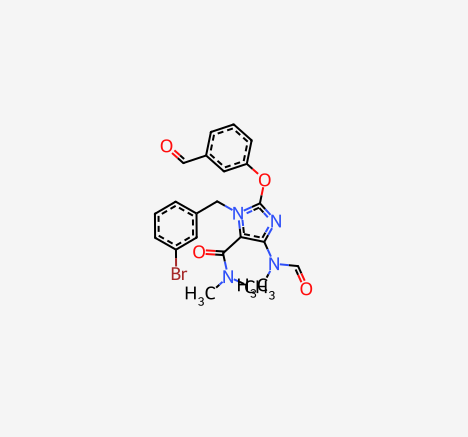 CN(C)C(=O)c1c(N(C)C=O)nc(Oc2cccc(C=O)c2)n1Cc1cccc(Br)c1